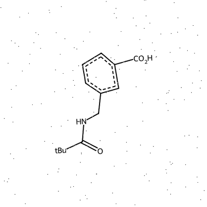 CC(C)(C)C(=O)NCc1cccc(C(=O)O)c1